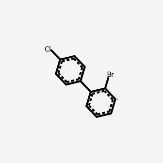 Clc1ccc(-c2ccc[c]c2Br)cc1